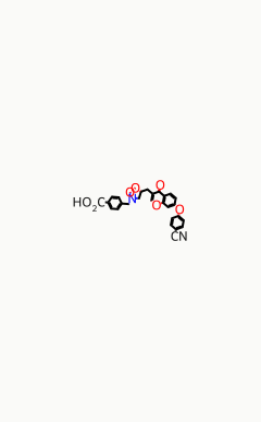 N#Cc1ccc(Oc2ccc3c(=O)c(CC4CN(Cc5ccc(C(=O)O)cc5)OO4)coc3c2)cc1